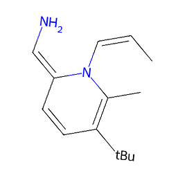 C/C=C\N1C(C)=C(C(C)(C)C)C=C/C1=C/N